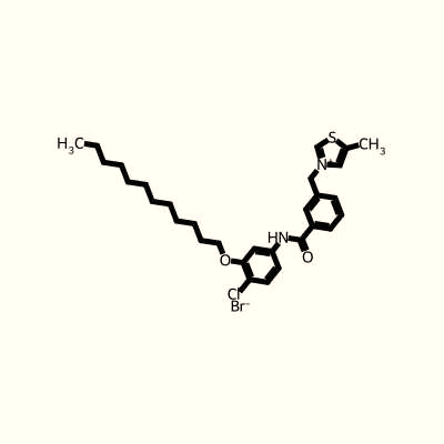 CCCCCCCCCCCCOc1cc(NC(=O)c2cccc(C[n+]3csc(C)c3)c2)ccc1Cl.[Br-]